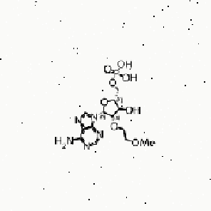 COCCO[C@H]1C(O)[C@@H](COP(=O)(O)O)O[C@H]1n1cnc2c(N)ncnc21